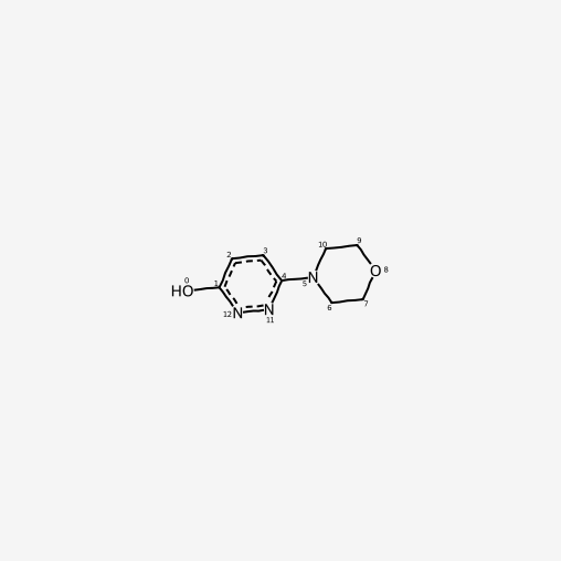 Oc1ccc(N2CCOCC2)nn1